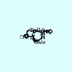 CO[C@H]1/C=C/C[C@H](C)CS(=O)(NC(=O)c2cc3n(c2)CCCC3)=NC(=O)c2ccc3c(c2)N(CCc2ccc(Cl)cc2CCCCO3)C[C@@H]2CC[C@H]21